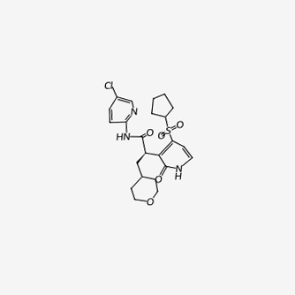 O=C(Nc1ccc(Cl)cn1)[C@H](CC1CCOCC1)c1c(S(=O)(=O)C2CCCC2)cc[nH]c1=O